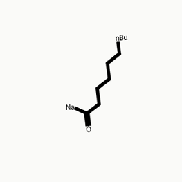 CCCCCCCCC[C](=O)[Na]